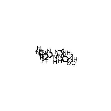 CC1=CN=C(Nc2cnc(N3C[C@@H]4C[C@H]3CN4C)c(C(F)(F)F)c2)NC1(N)c1ccc2oc(=O)[nH]c2c1